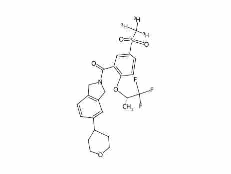 [3H]C([3H])([3H])S(=O)(=O)c1ccc(O[C@@H](C)C(F)(F)F)c(C(=O)N2Cc3ccc(C4CCOCC4)cc3C2)c1